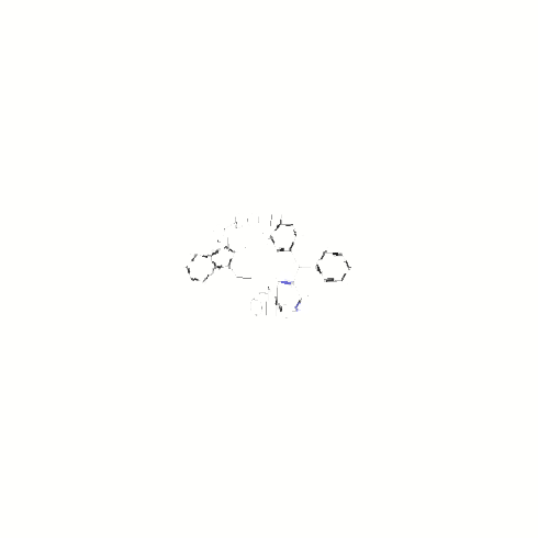 CN(/C=C(\C=C/C=O)C(c1ccccc1)c1ccccc1)CCCc1cn(CC(=O)O)c2ccccc12